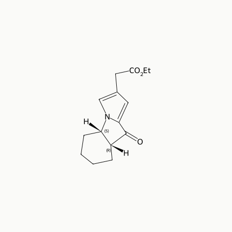 CCOC(=O)Cc1cc2n(c1)[C@H]1CCCC[C@H]1C2=O